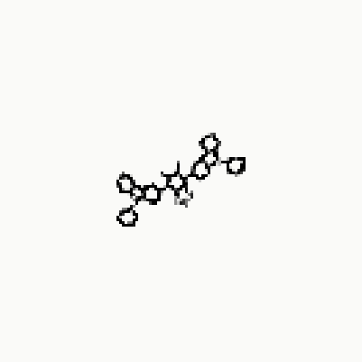 Cc1c(C)c(-c2ccc3c(c2)c2ccccc2n3-c2ccccc2)c2nsnc2c1-c1ccc2c(c1)c1ccccc1n2-c1ccccc1